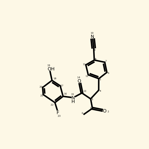 CC(=O)C(Cc1ccc(C#N)cc1)C(=O)Nc1cc(O)ccc1F